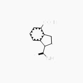 NC(=O)C1CCc2c(C(=O)O)cccc21